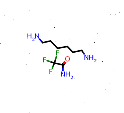 NC(=O)C(F)(F)F.NCCCCCCN